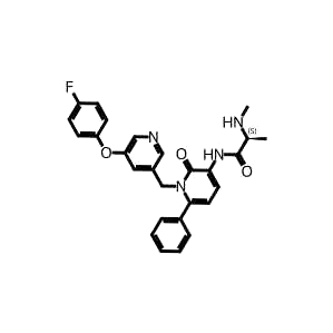 CN[C@@H](C)C(=O)Nc1ccc(-c2ccccc2)n(Cc2cncc(Oc3ccc(F)cc3)c2)c1=O